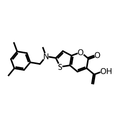 C=C(O)c1cc2sc(N(C)Cc3cc(C)cc(C)c3)cc2oc1=O